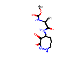 CC(C)C(NC(=O)OC(C)(C)C)C(=O)NC1CCCNNC(=O)C1=O